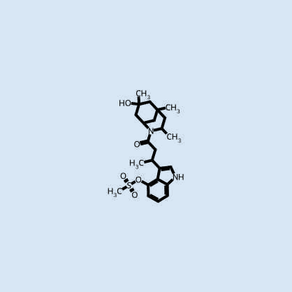 CC(CC(=O)N1C(C)CC2(C)CC1CC(C)(O)C2)c1c[nH]c2cccc(OS(C)(=O)=O)c12